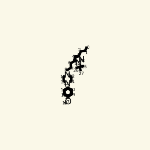 CCCc1cc(CCCN2CCN(c3ccc(OC)cc3)CC2)n(C(C)(C)C)n1